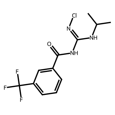 CC(C)NC(=NCl)NC(=O)c1cccc(C(F)(F)F)c1